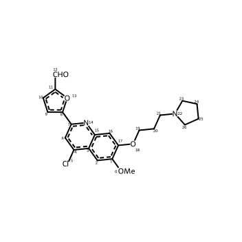 COc1cc2c(Cl)cc(-c3ccc(C=O)o3)nc2cc1OCCCN1CCCC1